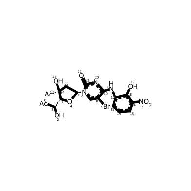 CC(=O)C(O)[C@H]1O[C@@H](n2cc(Br)c(Nc3cccc([N+](=O)[O-])c3O)nc2=O)C[C@@]1(O)C(C)=O